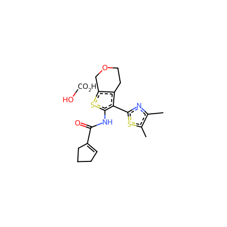 Cc1nc(-c2c(NC(=O)C3=CCCC3)sc3c2CCOC3)sc1C.O=C(O)O